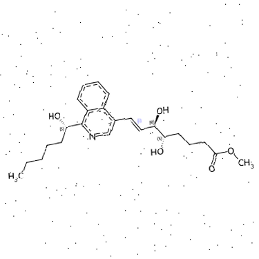 CCCCC[C@H](O)c1ncc(/C=C/[C@@H](O)[C@@H](O)CCCC(=O)OC)c2ccccc12